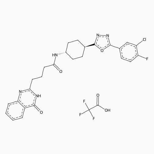 O=C(CCCc1nc2ccccc2c(=O)[nH]1)N[C@H]1CC[C@H](c2nnc(-c3ccc(F)c(Cl)c3)o2)CC1.O=C(O)C(F)(F)F